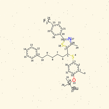 Cc1cc(SC(CCCCCc2ccccc2)c2sc(-c3ccc(C(F)(F)F)cc3)nc2C)ccc1O[Si](C)(C)C(C)(C)C